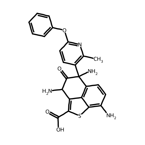 Cc1nc(Oc2ccccc2)ccc1C1(N)C(=O)C(N)c2c(C(=O)O)sc3c(N)ccc1c23